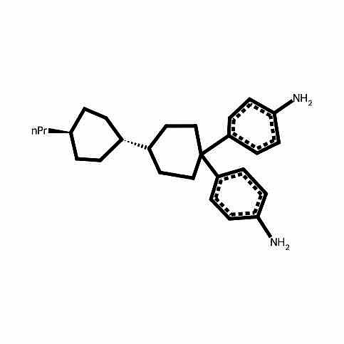 CCC[C@H]1CC[C@H](C2CCC(c3ccc(N)cc3)(c3ccc(N)cc3)CC2)CC1